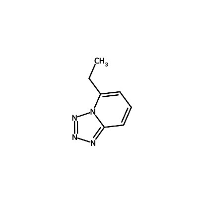 CCc1cccc2nnnn12